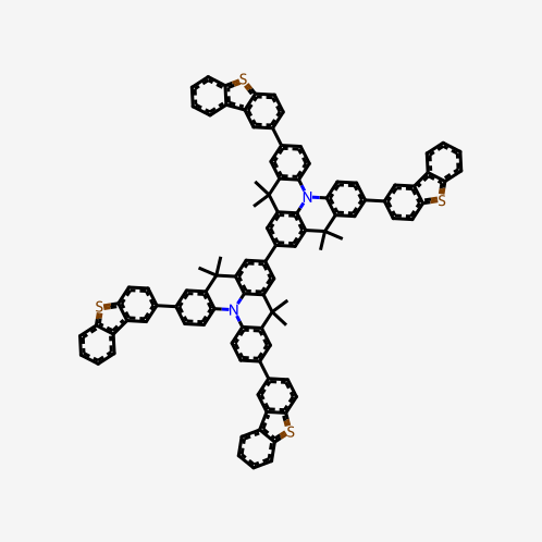 CC1(C)c2cc(-c3ccc4sc5ccccc5c4c3)ccc2N2c3ccc(-c4ccc5sc6ccccc6c5c4)cc3C(C)(C)c3cc(-c4cc5c6c(c4)C(C)(C)c4cc(-c7ccc8sc9ccccc9c8c7)ccc4N6c4ccc(-c6ccc7sc8ccccc8c7c6)cc4C5(C)C)cc1c32